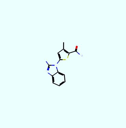 Cc1cc(-n2c(N)nc3ccccc32)sc1C(N)=O